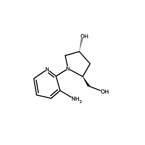 Nc1cccnc1N1C[C@H](O)C[C@H]1CO